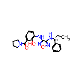 CC[C@@H](Nc1nonc1Nc1cccc(C(=O)N2CCCC2)c1O)c1ccccc1